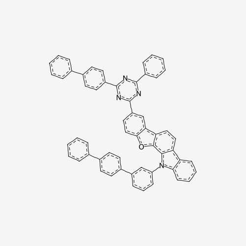 c1ccc(-c2ccc(-c3cccc(-n4c5ccccc5c5ccc6c7cc(-c8nc(-c9ccccc9)nc(-c9ccc(-c%10ccccc%10)cc9)n8)ccc7oc6c54)c3)cc2)cc1